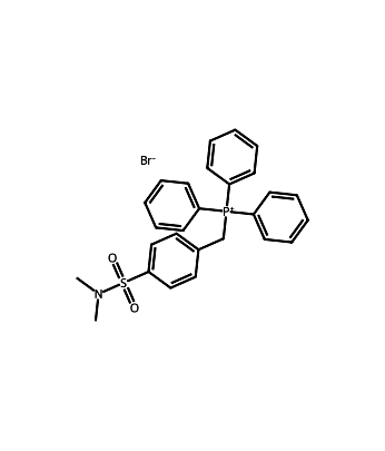 CN(C)S(=O)(=O)c1ccc(C[P+](c2ccccc2)(c2ccccc2)c2ccccc2)cc1.[Br-]